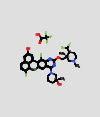 CCc1c(F)ccc2cc(O)cc(-c3c(Cl)cc4c(N5CCC[C@@](C)(O)C5)nc(OC[C@]5(C)CN(C)CC[C@@H]5C(F)F)nc4c3F)c12.O=C(O)C(F)(F)F